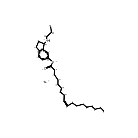 CCCCCCCC/C=C\CCCCCCCC(=O)Oc1ccc2c(c1)C(NCCC)CC2.Cl